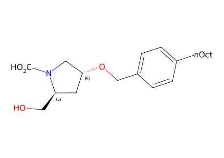 CCCCCCCCc1ccc(CO[C@@H]2C[C@@H](CO)N(C(=O)O)C2)cc1